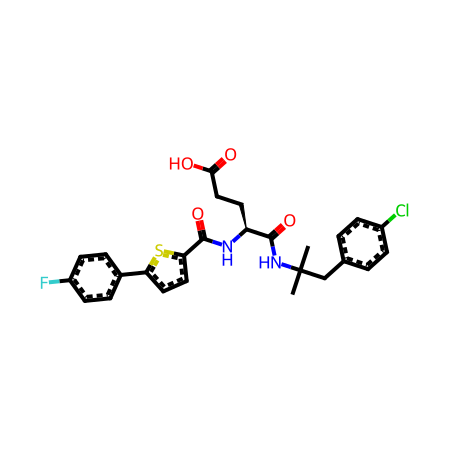 CC(C)(Cc1ccc(Cl)cc1)NC(=O)[C@H](CCC(=O)O)NC(=O)c1ccc(-c2ccc(F)cc2)s1